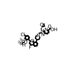 [2H]C([2H])([2H])Oc1cc(Cl)ccc1C1C=C(F)c2cccc(C3CCN(Cc4nc5ccc(C(=O)O)nc5n4C[C@@H]4CCO4)CC3)c2O1